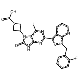 O=C(O)N1CC(n2c(=O)[nH]c3nc(-c4nn(Cc5ccccc5F)c5ncccc45)nc(I)c32)C1